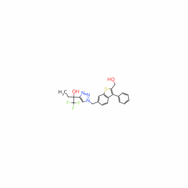 CCC(O)(c1cn(Cc2ccc3c(-c4ccccc4)c(CO)sc3c2)nn1)C(F)(F)F